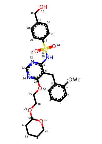 COc1ccccc1Cc1c(NS(=O)(=O)c2ccc(CO)cc2)ncnc1OCCOC1CCCCO1